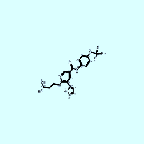 CC[C@H](O)CCNc1ncc(C(=O)Nc2ccc(OC(F)(F)Cl)cc2)cc1-c1ccn[nH]1